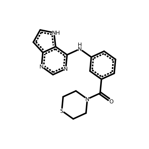 O=C(c1cccc(Nc2ncnc3cc[nH]c23)c1)N1CCSCC1